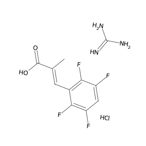 CC(=Cc1c(F)c(F)cc(F)c1F)C(=O)O.Cl.N=C(N)N